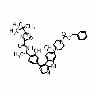 Cc1cc(-c2ncnc3[nH]c4cc(N5CCN(C(=O)OCc6ccccc6)CC5)c(C)cc4c23)ccc1[C@@H](C)NC(=O)c1nc(C(C)(C)C)no1